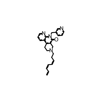 C=C/C=C\C=C/CCN1CCc2c(c(=O)n(Cc3cccnc3)c3ncccc23)C1